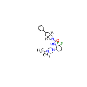 CC(C)N1CCN([C@H]2CCCC(F)(F)[C@@H]2NC(=O)N2C[C@@H]3CC(c4ccccc4)=C[C@@H]3C2)CC1